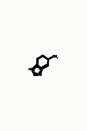 NC1C=c2nc[nH]c2=CC1